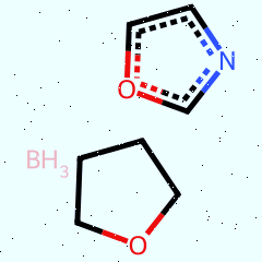 B.C1CCOC1.c1cocn1